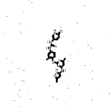 Cc1cc(Nc2cc(C)nc(Oc3ccc(NC(=O)Nc4ccc(=O)[nH]c4)cc3C)n2)[nH]n1